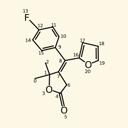 CC1(C)OC(=O)CC1=C(c1ccc(F)cc1)c1ccco1